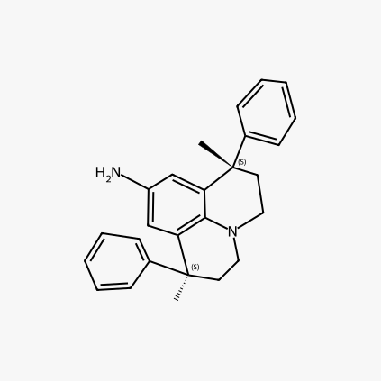 C[C@@]1(c2ccccc2)CCN2CC[C@@](C)(c3ccccc3)c3cc(N)cc1c32